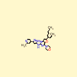 C\C=C/C(=C\C=C\CC)c1cc2nc(Nc3cc(-c4ccnc(C)c4)n[nH]3)nc(N3CCOCC3)c2o1